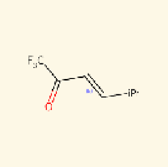 CC(C)/C=C/C(=O)C(F)(F)F